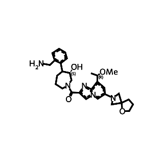 CO[C@H](C)c1cc(N2CC3(CCCO3)C2)cn2cc(C(=O)N3CCCC(c4ccccc4CN)[C@H](O)C3)nc12